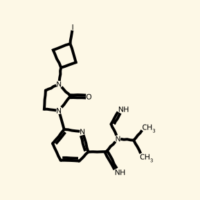 CC(C)N(C=N)C(=N)c1cccc(N2CCN(C3CC(I)C3)C2=O)n1